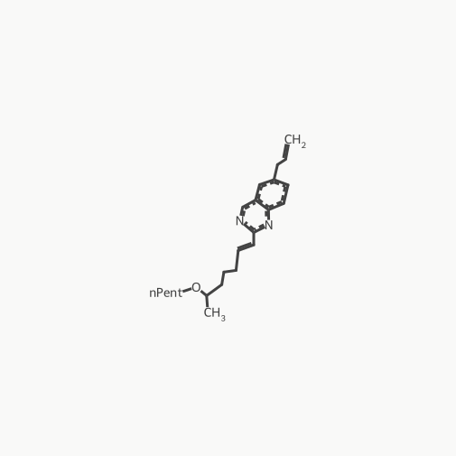 C=CCc1ccc2nc(/C=C/CCCC(C)OCCCCC)ncc2c1